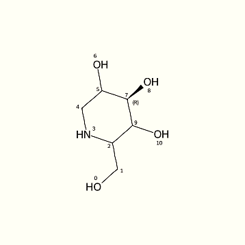 OCC1NCC(O)[C@@H](O)C1O